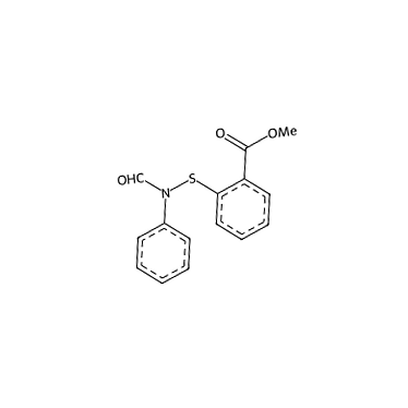 COC(=O)c1ccccc1SN(C=O)c1ccccc1